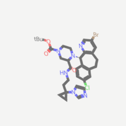 CC(C)(C)OC(=O)N1CCN([C@H]2c3ccc(Cl)cc3CCc3cc(Br)cnc32)C(C(=O)NCCC2(n3ccnc3)CC2)C1